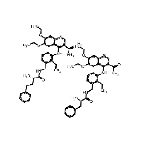 CCOc1cc2ncc(C(N)=O)c(Nc3cccc(CNC(=O)[C@@H](N)CCc4ccccc4)c3CC)c2cc1OCC.CCOc1cc2ncc(C(N)=O)c(Nc3cccc(CNC(=O)[C@H](N)Cc4ccccc4)c3CC)c2cc1OCC